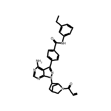 C=CC(=O)N1CC2CC1C(n1nc(-c3ccc(C(=O)Nc4cccc(CC)c4)cc3)c3c(N)ncnc31)C2